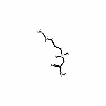 COC(=O)C[N+](C)(C)CCCNC=O